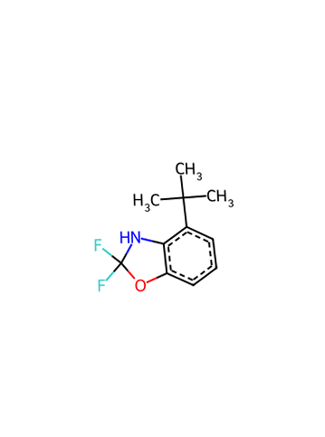 CC(C)(C)c1cccc2c1NC(F)(F)O2